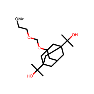 COCCOCOC12CC3CC(C(C)(C)O)(C1)CC(C(C)(C)O)(C3)C2